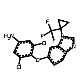 Nc1cc(Cl)c(Oc2ccc3ncn(C4(C(F)(F)F)CC4)c3c2)c(Cl)c1